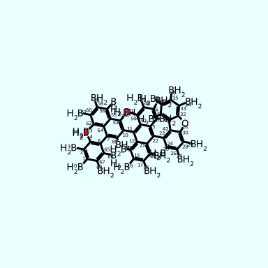 Bc1c(B)c(B)c(-c2c(B)c(-c3c4c(B)c(B)c(B)c(B)c4c(-c4c(B)c(B)c(B)c5oc6c(B)c(B)c(B)c(B)c6c45)c4c(B)c(B)c(B)c(B)c34)c(B)c3c(B)c(B)c(B)c(B)c23)c(B)c1B